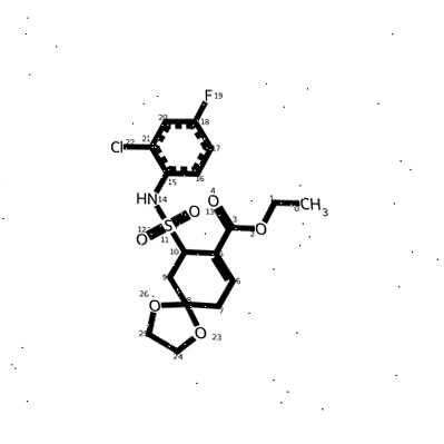 CCOC(=O)C1=CCC2(CC1S(=O)(=O)Nc1ccc(F)cc1Cl)OCCO2